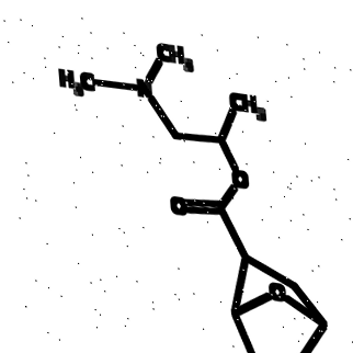 CC(CN(C)C)OC(=O)C1CC2CCC1O2